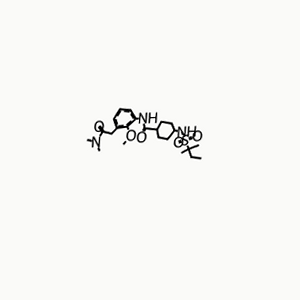 CCC(C)(C)S(=O)(=O)NC1CCC(C(=O)Nc2cccc(CC(=O)N(C)C)c2OC)CC1